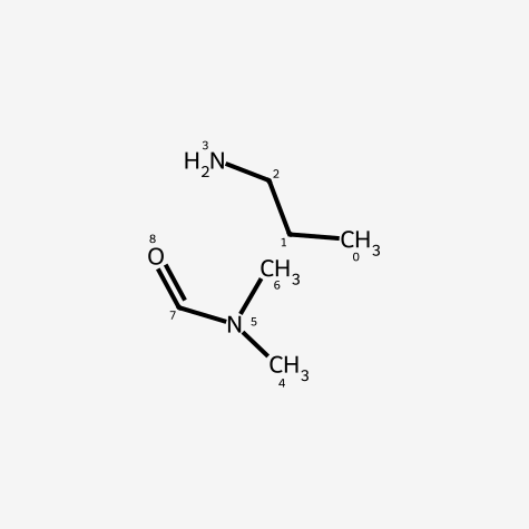 CCCN.CN(C)C=O